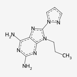 CCCn1c(-n2cccn2)nc2c(N)nc(N)nc21